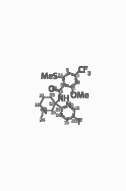 COc1cc(C(F)(F)F)cc(SC)c1C(=O)NC1(c2ccc(F)cn2)CCCN(C)C1